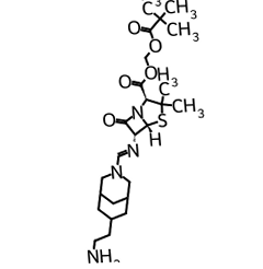 CC(C)(C)C(=O)OCOC(=O)[C@@H]1N2C(=O)[C@@H](N=CN3CC4CC(CCN)CC(C4)C3)[C@H]2SC1(C)C